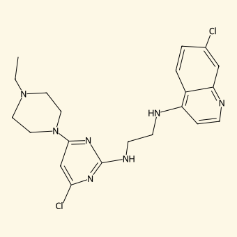 CCN1CCN(c2cc(Cl)nc(NCCNc3ccnc4cc(Cl)ccc34)n2)CC1